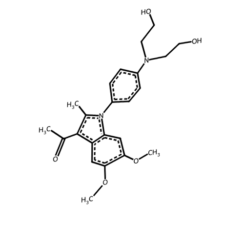 COc1cc2c(C(C)=O)c(C)n(-c3ccc(N(CCO)CCO)cc3)c2cc1OC